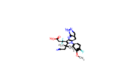 COc1cc(-n2c(C(C)(C)CC#N)c(C(F)(F)CC(=O)O)c3nc4[nH]ncc4cc32)ccc1F